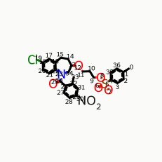 Cc1ccc(S(=O)(=O)OCCCOC2CCc3cc(Cl)ccc3N(C(=O)c3ccc([N+](=O)[O-])cc3C)C2)cc1